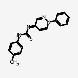 Cc1ccc(NC(=S)/N=c2\ccn(-c3ccccc3)nc2)cc1